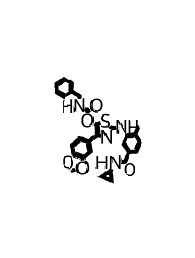 Cc1ccc(C(=O)NC2CC2)cc1Nc1nc(-c2ccc3c(c2)OCO3)c(OC(=O)NCc2ccccc2)s1